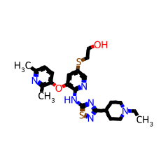 CCN1CCC(c2nsc(Nc3ncc(SCCO)cc3Oc3ccc(C)nc3C)n2)CC1